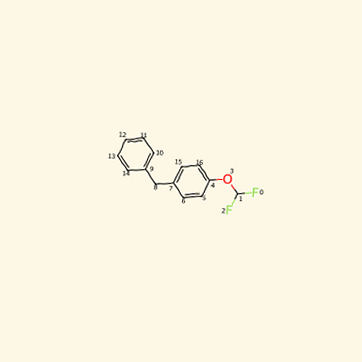 FC(F)Oc1ccc(Cc2ccccc2)cc1